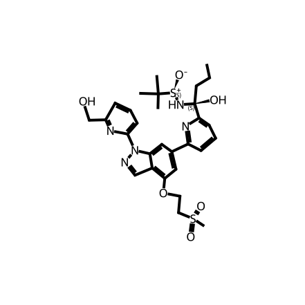 CCC[C@@](O)(N[S@+]([O-])C(C)(C)C)c1cccc(-c2cc(OCCS(C)(=O)=O)c3cnn(-c4cccc(CO)n4)c3c2)n1